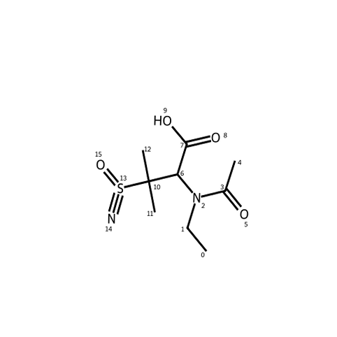 CCN(C(C)=O)C(C(=O)O)C(C)(C)S(#N)=O